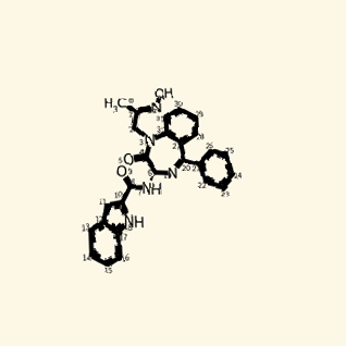 CC(CN1C(=O)[C@@H](NC(=O)c2cc3ccccc3[nH]2)N=C(c2ccccc2)c2ccccc21)=NO